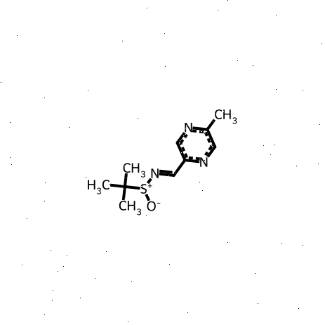 Cc1cnc(/C=N/[S+]([O-])C(C)(C)C)cn1